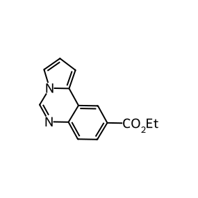 CCOC(=O)c1ccc2ncn3cccc3c2c1